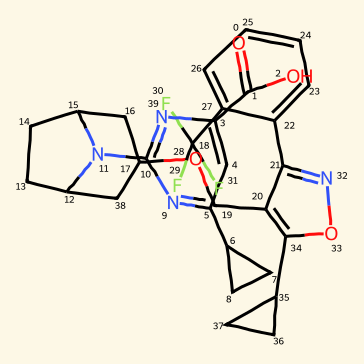 O=C(O)c1cc(C2CC2)nc(N2C3CCC2CC(OCc2c(-c4ccccc4C(F)(F)F)noc2C2CC2)C3)n1